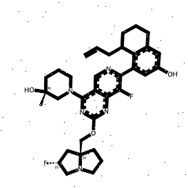 C=CCC1CCCc2cc(O)cc(-c3ncc4c(N5CCC[C@@](C)(O)C5)nc(OC[C@@]56CCCN5C[C@H](F)C6)nc4c3F)c21